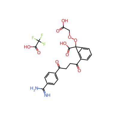 N=C(N)c1ccc(C(=O)CCC(=O)c2cccc3c2C3(OOCC(=O)O)C(=O)O)cc1.O=C(O)C(F)(F)F